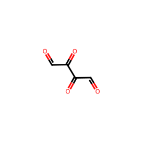 O=CC(=O)C(=O)C=O